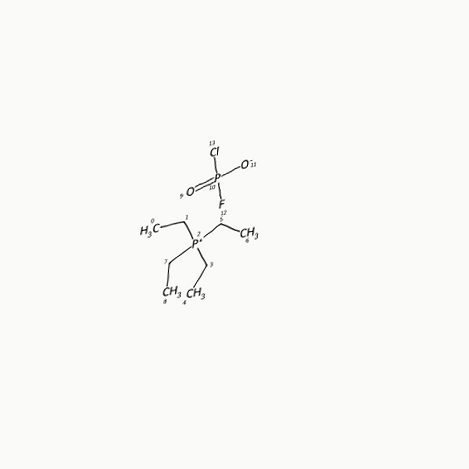 CC[P+](CC)(CC)CC.O=P([O-])(F)Cl